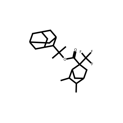 CC1C2CC(C1C)C(C(=O)OC(C)(C)C1C3CC4CC(C3)CC1C4)(C(F)(F)F)C2